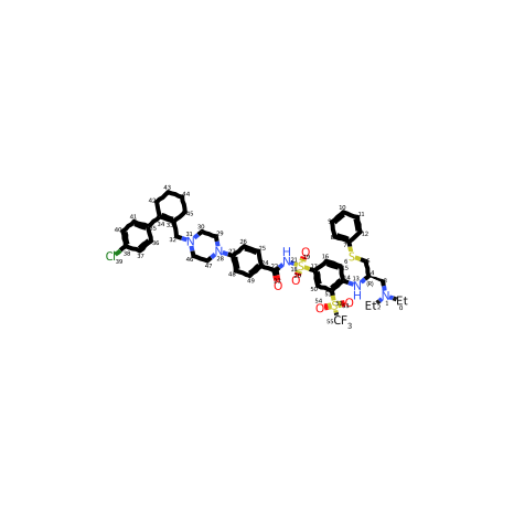 CCN(CC)C[C@H](CSc1ccccc1)Nc1ccc(S(=O)(=O)NC(=O)c2ccc(N3CCN(CC4=C(c5ccc(Cl)cc5)CCCC4)CC3)cc2)cc1S(=O)(=O)C(F)(F)F